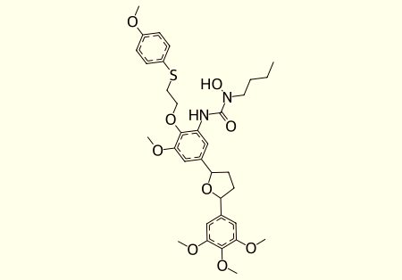 CCCCN(O)C(=O)Nc1cc(C2CCC(c3cc(OC)c(OC)c(OC)c3)O2)cc(OC)c1OCCSc1ccc(OC)cc1